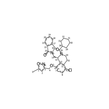 Cc1cc(COc2ccc(Cl)c3c2[C@@H](CN2Cc4ccccc4C2=O)N(C(=O)C2CCCCC2)CC3)no1